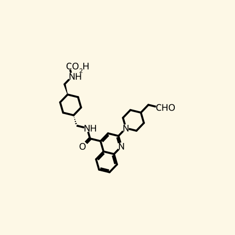 O=CCC1CCN(c2cc(C(=O)NC[C@H]3CC[C@H](CNC(=O)O)CC3)c3ccccc3n2)CC1